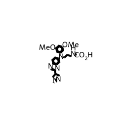 COc1cc(OC)cc(N(CCCNC(=O)O)c2ccc3ncc(C4C=NN(C)C4)nc3c2)c1